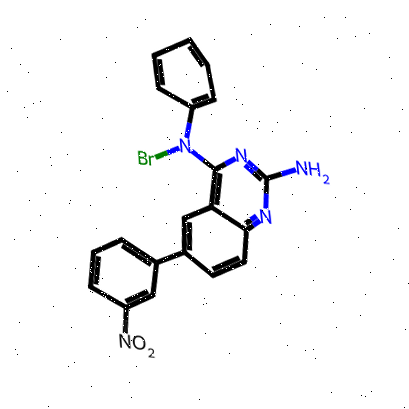 Nc1nc(N(Br)c2ccccc2)c2cc(-c3cccc([N+](=O)[O-])c3)ccc2n1